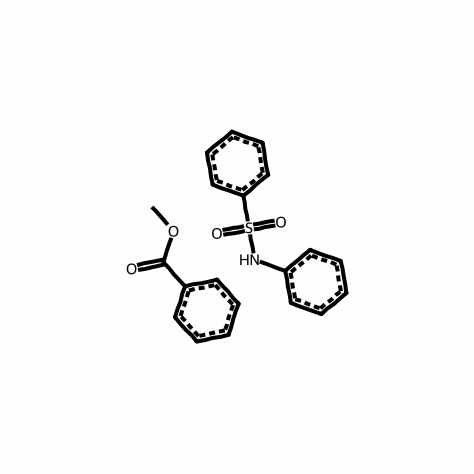 COC(=O)c1ccccc1.O=S(=O)(Nc1ccccc1)c1ccccc1